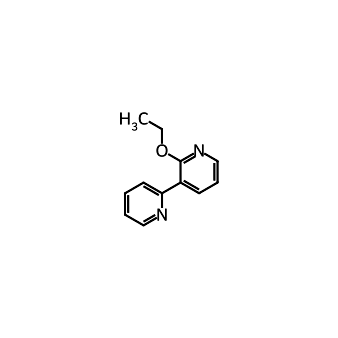 CCOc1ncccc1-c1ccccn1